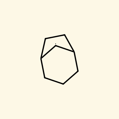 [CH]1C2CCCC1CC2